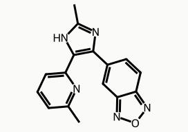 Cc1cccc(-c2[nH]c(C)nc2-c2ccc3nonc3c2)n1